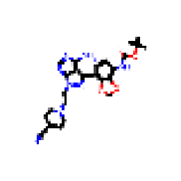 CC(C)(C)OC(=O)Nc1ccc(-c2nn(CCN3CCC(C#N)CC3)c3ncnc(N)c23)c2c1OCO2